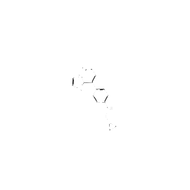 Clc1cc(-c2ccc(NCC3CC3)cc2)c2nccn2n1